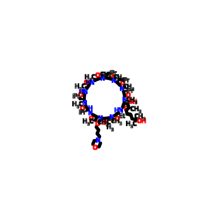 CC[C@@H]1NC(=O)[C@H]([C@H](O)[C@H](C)C/C=C/CC(C)(C)O)N(C)C(=O)[C@H](C(C)C)N(C)C(=O)[C@H](CC(C)C)N(C)C(=O)[C@H](CC(C)C)N(C)C(=O)[C@@H](C)NC(=O)[C@H](C)NC(=O)[C@H](CC(C)C)N(C)C(=O)[C@H](C(C)C)NC(=O)[C@H]([C@@H](C)OCCCCN2CCOCC2)N(C)C(=O)[C@@H](C)N(C)C1=O